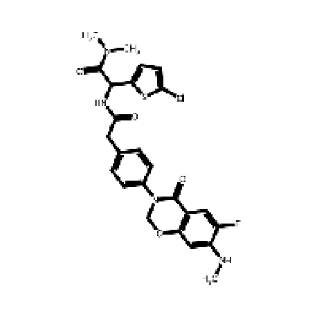 CNc1cc2c(cc1F)C(=O)N(c1ccc(CC(=O)NC(C(=O)N(C)C)c3ccc(Cl)s3)cc1)CO2